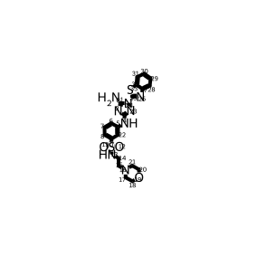 Nc1nc(Nc2cccc(S(=O)(=O)NCCN3CCOCC3)c2)nn1-c1nc2ccccc2s1